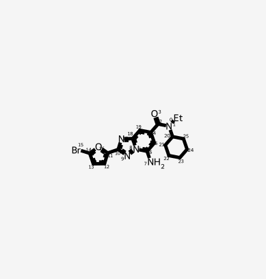 CCN(C(=O)c1cc(N)n2nc(-c3ccc(Br)o3)nc2c1)C1CCCCC1